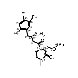 CC(C)(C)OC[C@@H]1C(=O)NCCN1C(=O)C[C@H]([AsH2])Cc1cc(F)c(F)cc1F